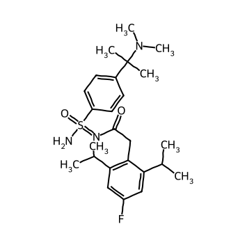 CC(C)c1cc(F)cc(C(C)C)c1CC(=O)N=S(N)(=O)c1ccc(C(C)(C)N(C)C)cc1